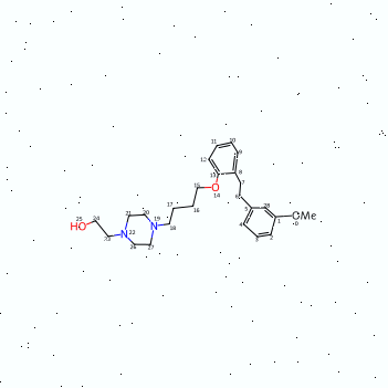 COc1cccc(CCc2ccccc2OCCCCN2CCN(CCO)CC2)c1